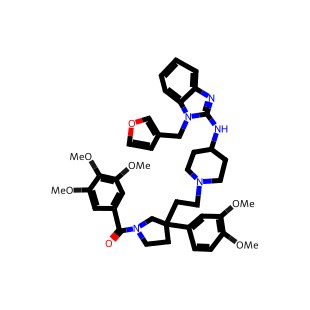 COc1ccc(C2(CCN3CCC(Nc4nc5ccccc5n4Cc4ccoc4)CC3)CCN(C(=O)c3cc(OC)c(OC)c(OC)c3)C2)cc1OC